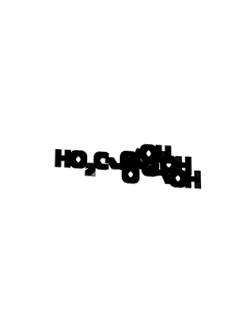 O=C(O)CCC(=O)OC(CO)COCC(O)CO